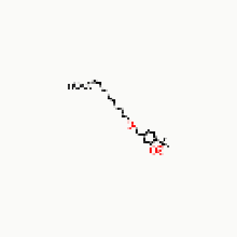 CCCCCCCC/C=C\CCCCCCCCOCCc1ccc2c(c1)OOC2(C)C